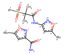 CC(C)(C)c1cc(C(N)=O)no1.CC(C)S(=O)(=O)C(C)(C)C(=O)Nc1cc(C(C)(C)C)on1